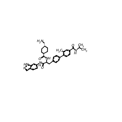 Cc1cc(C(=O)NC(C)C)ccc1-c1ccc(CC(NC(=O)[C@H]2CC[C@H](CN)CC2)C(=O)Nc2ccc3cn[nH]c3c2)cc1